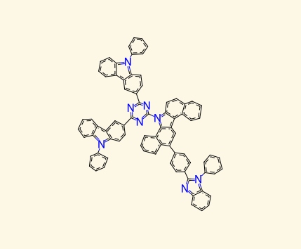 c1ccc(-n2c(-c3ccc(-c4cc5c6c7ccccc7ccc6n(-c6nc(-c7ccc8c(c7)c7ccccc7n8-c7ccccc7)nc(-c7ccc8c(c7)c7ccccc7n8-c7ccccc7)n6)c5c5ccccc45)cc3)nc3ccccc32)cc1